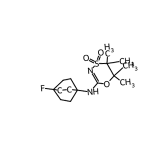 CC1(C)OC(NC23CCC(F)(CC2)CC3)=NS(=O)(=O)C1(C)C